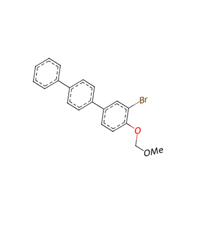 COCOc1ccc(-c2ccc(-c3ccccc3)cc2)cc1Br